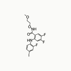 COCCONC(=O)c1cc(F)c(F)cc1Nc1ccc(I)cc1F